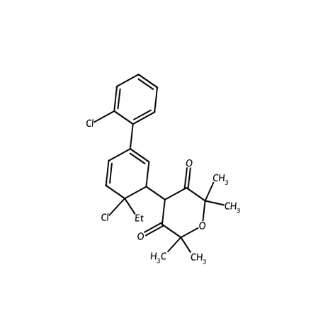 CCC1(Cl)C=CC(c2ccccc2Cl)=CC1C1C(=O)C(C)(C)OC(C)(C)C1=O